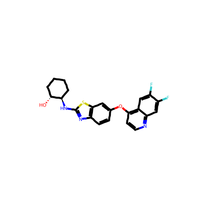 O[C@@H]1CCCC[C@H]1Nc1nc2ccc(Oc3ccnc4cc(F)c(F)cc34)cc2s1